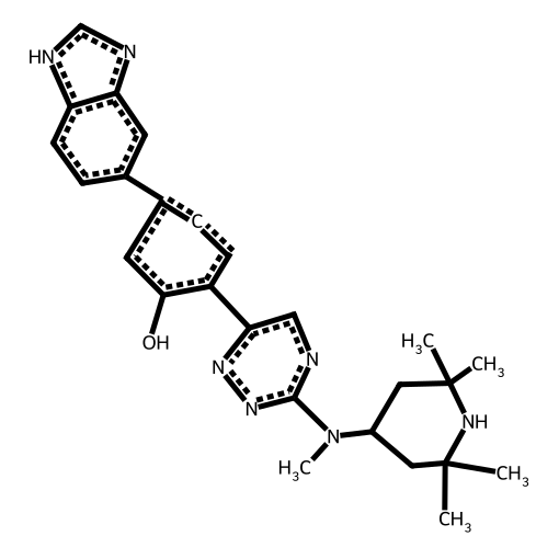 CN(c1ncc(-c2ccc(-c3ccc4[nH]cnc4c3)cc2O)nn1)C1CC(C)(C)NC(C)(C)C1